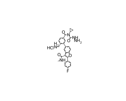 CNC(=O)c1c(-c2ccc(F)cc2)oc2ccc(-c3cc(C(=O)N(C(=O)NN)C4CC4)ccc3CN)cc12.Cl